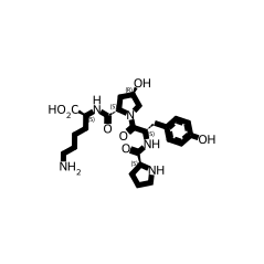 NCCCC[C@H](NC(=O)[C@@H]1C[C@@H](O)CN1C(=O)[C@H](Cc1ccc(O)cc1)NC(=O)[C@@H]1CCCN1)C(=O)O